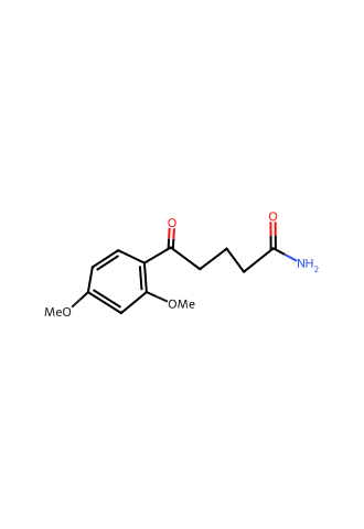 COc1ccc(C(=O)CCCC(N)=O)c(OC)c1